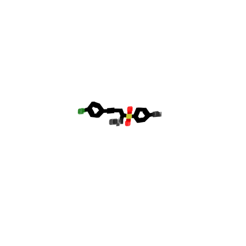 CC(C)(C)c1ccc(S(=O)(=O)C(CC#Cc2ccc(Cl)cc2)C(=O)O)cc1